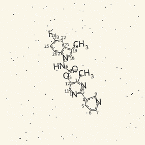 Cc1nc(-c2cccnc2)ncc1OC(=O)Nn1cc(C)c2cc(F)ccc21